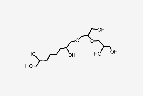 OCC(O)CCCCC(O)COCC(CO)OCC(O)CO